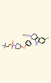 CCOC(=O)N1CCc2c([nH]c3ccc(Cl)cc23)[C@@H]1c1ccc(OC2CCN(S(=O)(=O)CC[Si](C)(C)C)CC2)cc1